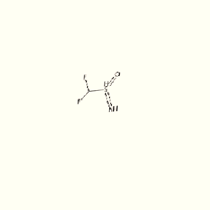 N=[SH](=O)C(F)F